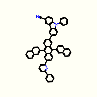 N#Cc1ccc2c(c1)c1cc(-c3ccc4c(-c5ccc6ccccc6c5)c5cc(-c6cccc(-c7ccccc7)n6)ccc5c(-c5ccc6ccccc6c5)c4c3)ccc1n2-c1ccccc1